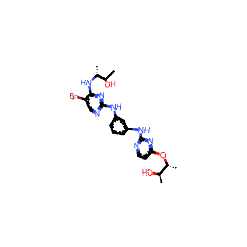 CC(O)[C@@H](C)Nc1nc(Nc2cccc(Nc3nccc(O[C@H](C)[C@@H](C)O)n3)c2)ncc1Br